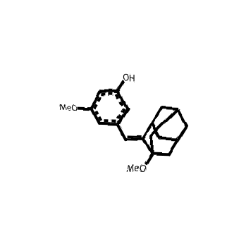 COc1cc(O)cc(C=C2C3CC4CC(C3)CC2(OC)C4)c1